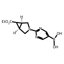 CCOC(=O)C1[C@H]2CN(c3ncc(B(O)O)cn3)C[C@@H]12